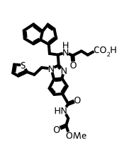 COC(=O)CNC(=O)c1ccc2c(c1)nc(C(Cc1cccc3ccccc13)NC(=O)CCC(=O)O)n2CCc1cccs1